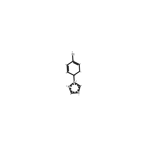 CCC1=CCC(n2cncn2)C=C1